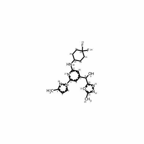 Cc1ccn(-c2cc(C(O)c3nnc(C)o3)cc(NC3CCC(F)(F)CC3)n2)n1